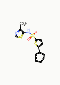 O=C(O)c1ncsc1NS(=O)(=O)c1ccc(-c2ccccc2)s1